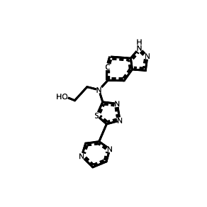 OCCN(c1ccc2[nH]ncc2c1)c1nnc(-c2cnccn2)s1